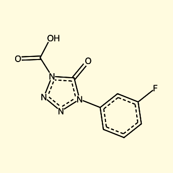 O=C(O)n1nnn(-c2cccc(F)c2)c1=O